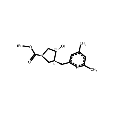 Cc1cc(C)nc(C[C@H]2CN(C(=O)OC(C)(C)C)C[C@@H]2O)c1